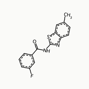 Cc1ccc2nc(NC(=O)c3cccc(F)c3)sc2c1